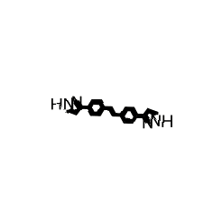 C(=Cc1ccc(-c2cc[nH]n2)cc1)c1ccc(-c2cc[nH]n2)cc1